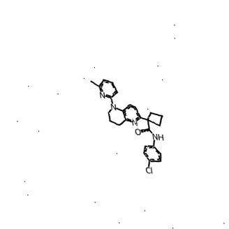 Cc1cccc(N2CCCc3nc(C4(C(=O)Nc5ccc(Cl)cc5)CCC4)ccc32)n1